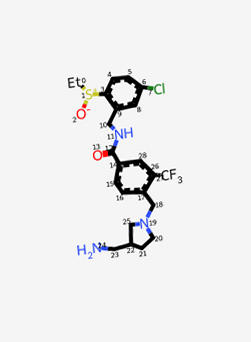 CC[S+]([O-])c1ccc(Cl)cc1CNC(=O)c1ccc(CN2CCC(CN)C2)c(C(F)(F)F)c1